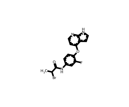 CC(Br)C(=O)Nc1ccc(Oc2ccnc3[nH]ccc23)c(F)c1